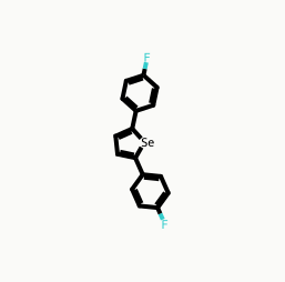 Fc1ccc(-c2ccc(-c3ccc(F)cc3)[se]2)cc1